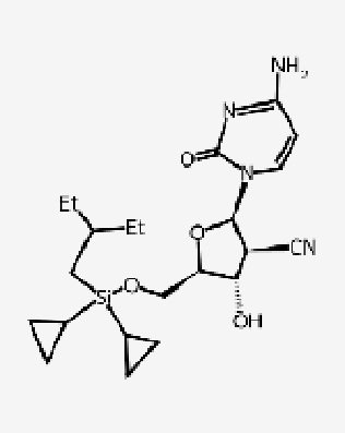 CCC(CC)C[Si](OC[C@H]1O[C@@H](n2ccc(N)nc2=O)[C@@H](C#N)[C@@H]1O)(C1CC1)C1CC1